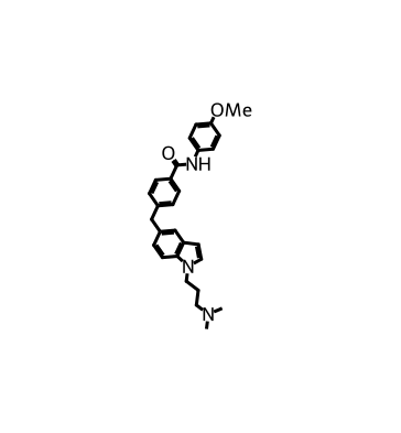 COc1ccc(NC(=O)c2ccc(Cc3ccc4c(ccn4CCCN(C)C)c3)cc2)cc1